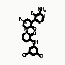 Nc1ncnc(N2C[C@@H](F)C[C@@H](N3CCCC(Nc4cc(Cl)cc(Cl)c4)C3=O)C2=O)c1F